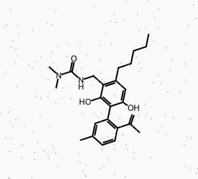 C=C(C)c1ccc(C)cc1-c1c(O)cc(CCCCC)c(CNC(=O)N(C)C)c1O